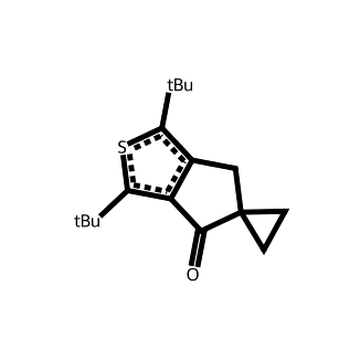 CC(C)(C)c1sc(C(C)(C)C)c2c1CC1(CC1)C2=O